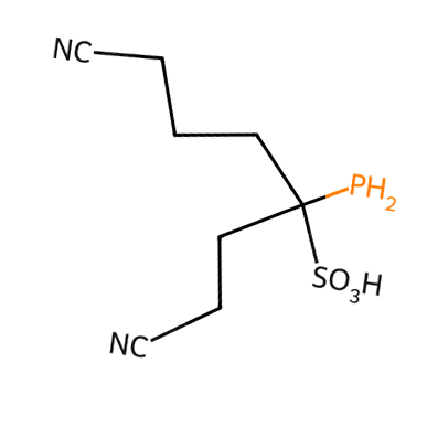 N#CCCCC(P)(CCC#N)S(=O)(=O)O